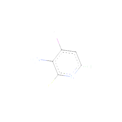 Cl.Nc1c(I)ccnc1F